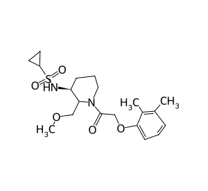 COCC1[C@@H](NS(=O)(=O)C2CC2)CCCN1C(=O)COc1cccc(C)c1C